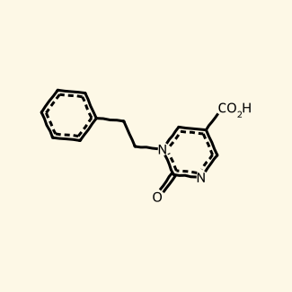 O=C(O)c1cnc(=O)n(CCc2ccccc2)c1